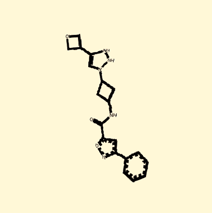 O=C(NC1CC(N2C=C(C3COC3)NN2)C1)c1cc(-c2ccccc2)no1